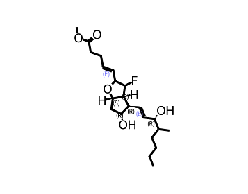 CCCCC(C)[C@@H](O)/C=C/[C@@H]1[C@H]2C(F)C(/C=C/CCC(=O)OC)O[C@H]2C[C@H]1O